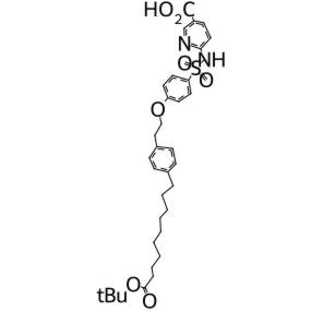 CC(C)(C)OC(=O)CCCCCCCCCc1ccc(CCOc2ccc(S(=O)(=O)Nc3ccc(C(=O)O)cn3)cc2)cc1